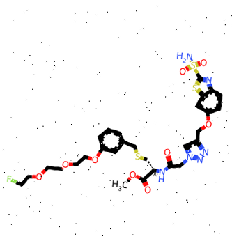 COC(=O)[C@H](CSCc1cccc(OCCOCCOCCF)c1)NC(=O)Cn1cc(COc2ccc3nc(S(N)(=O)=O)sc3c2)nn1